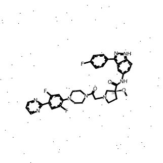 CO[C@@]1(C(=O)Nc2ccc3[nH]nc(-c4ccc(F)cc4)c3c2)CCN(CC(=O)N2CCN(c3cc(F)c(-c4ncccn4)cc3F)CC2)C1